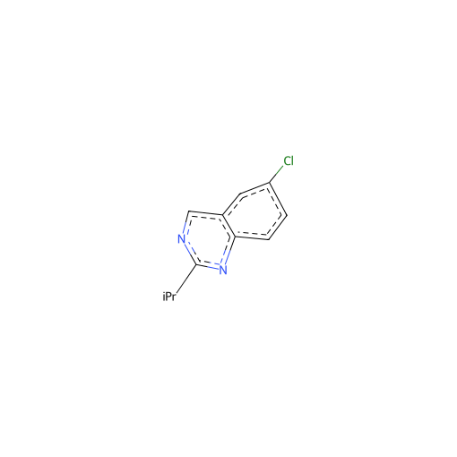 CC(C)c1ncc2cc(Cl)ccc2n1